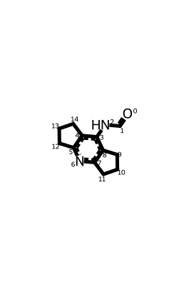 O=CNc1c2c(nc3c1CCC3)CCC2